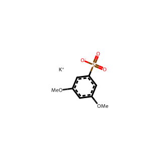 COc1cc(OC)cc(S(=O)(=O)[O-])c1.[K+]